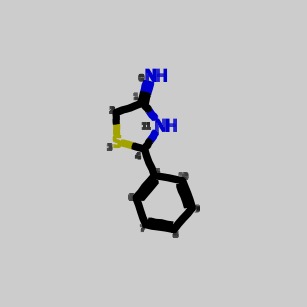 N=C1CSC(c2ccccc2)N1